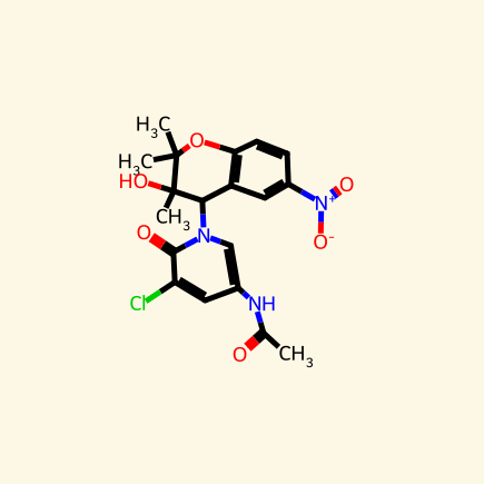 CC(=O)Nc1cc(Cl)c(=O)n(C2c3cc([N+](=O)[O-])ccc3OC(C)(C)C2(C)O)c1